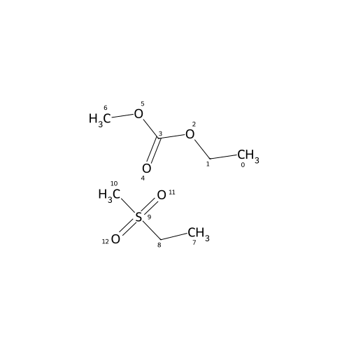 CCOC(=O)OC.CCS(C)(=O)=O